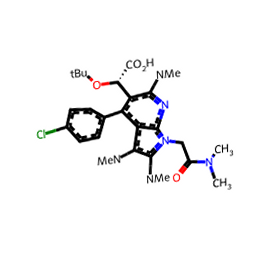 CNc1nc2c(c(NC)c(NC)n2CC(=O)N(C)C)c(-c2ccc(Cl)cc2)c1[C@H](OC(C)(C)C)C(=O)O